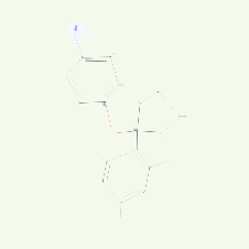 Nc1ccc(OC2(c3ccc(Cl)cc3Cl)CCCC2)cc1